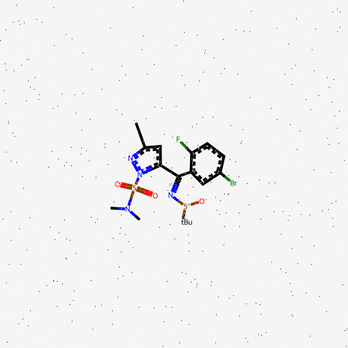 Cc1cc(/C(=N/[S+]([O-])C(C)(C)C)c2cc(Br)ccc2F)n(S(=O)(=O)N(C)C)n1